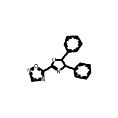 c1ccc(C2N=C(c3ncno3)OC2c2ccccc2)cc1